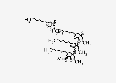 CCCCCCCC[N+]([S-])(CCC)C(=S)[S-].CCCCCCCC[N+]([S-])(CCC)C(=S)[S-].CCCCCCCC[N+]([S-])(CCC)C(=S)[S-].CCCCCCCC[N+]([S-])(CCC)C(=S)[S-].[S]=[Mo+4]